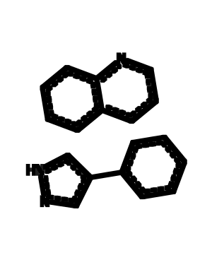 c1ccc(-c2cn[nH]c2)cc1.c1ccc2ncccc2c1